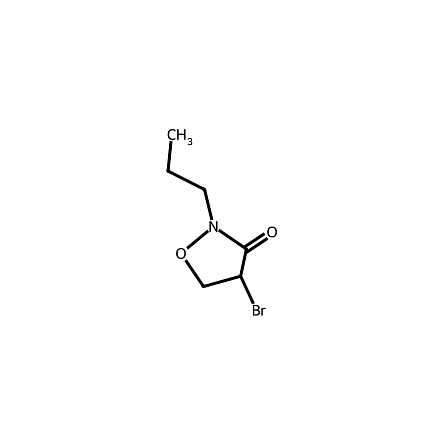 CCCN1OCC(Br)C1=O